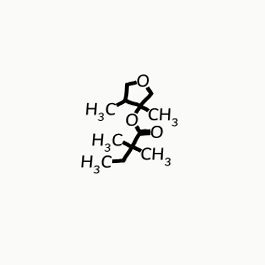 CCC(C)(C)C(=O)OC1(C)COCC1C